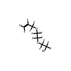 FC(F)=C(F)C(F)(F)OC(F)(F)C(F)(F)OC(F)(F)C(F)(F)Br